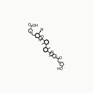 Cc1c(-c2nc3cc(CN4CC[C@@H](C(=O)O)C4)cc(C#N)c3o2)cccc1-c1cccc(-c2nc3c(s2)CN(C(=O)CN2CC[C@@](C)(O)C2)C3)c1C